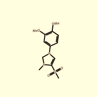 COc1ccc(N2C=C(S(C)(=O)=O)N(C)C2)cc1OC